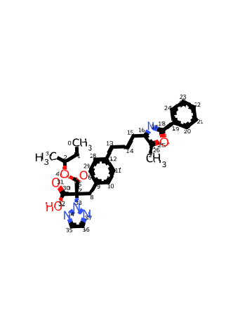 CCC(C)OC(=O)C(Cc1ccc(CCCc2nc(-c3ccccc3)oc2C)cc1)(C(=O)O)n1nccn1